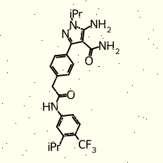 CC(C)c1cc(NC(=O)Cc2ccc(-c3nn(C(C)C)c(N)c3C(N)=O)cc2)ccc1C(F)(F)F